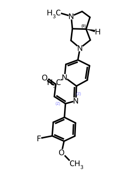 COc1ccc(C(=C/C=O)/N=c2/ccc(N3CC4[C@H](CCN4C)C3)cn2C)cc1F